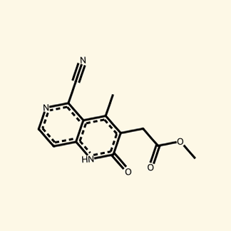 COC(=O)Cc1c(C)c2c(C#N)nccc2[nH]c1=O